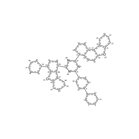 c1ccc(-c2ccc(-c3nc(-c4cccc5c4ccc4oc6ccccc6c45)nc(-c4ccc(-c5ccccc5)c5oc6ccccc6c45)n3)cc2)cc1